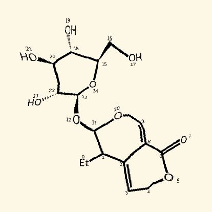 CCC1C2=CCOC(=O)C2=COC1O[C@@H]1O[C@H](CO)[C@@H](O)[C@H](O)[C@H]1O